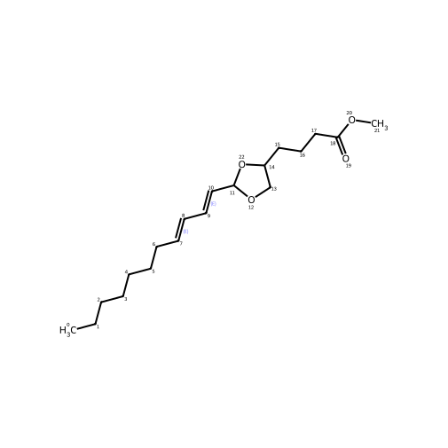 CCCCCCC/C=C/C=C/C1OCC(CCCC(=O)OC)O1